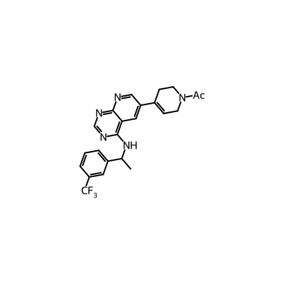 CC(=O)N1CC=C(c2cnc3ncnc(NC(C)c4cccc(C(F)(F)F)c4)c3c2)CC1